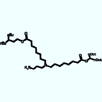 CCCCCCCCC(CCCCCCCC)OC(=O)CCCCCCCN(CCCN)CCCCCCCC(=O)OCCC(CCCC)CCCC